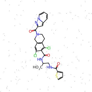 O=C(NCC(NC(=O)c1c(Cl)cc2c(c1Cl)CCN(C(=O)c1cc3ccccn3n1)C2)C(=O)O)c1cccs1